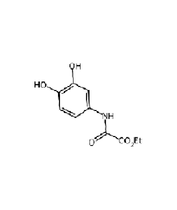 CCOC(=O)C(=O)Nc1ccc(O)c(O)c1